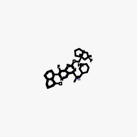 C/[N+](=C/C1CCCNC1)c1nc(OC[C@@]23CCCN2C[C@H](F)C3)nc2c(F)c(-c3cccc4cccc(Cl)c34)ncc12